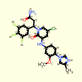 COc1cc(Nc2cc(Cl)cn(C(CC(N)=O)c3cc(F)c(F)c(F)c3)c2=O)ccc1-n1cnc(C)c1